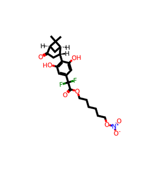 CC1(C)[C@@H]2C[C@H]1C(=O)C[C@H]2c1c(O)cc(C(F)(F)C(=O)OCCCCCCO[N+](=O)[O-])cc1O